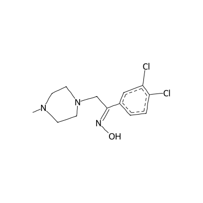 CN1CCN(CC(=NO)c2ccc(Cl)c(Cl)c2)CC1